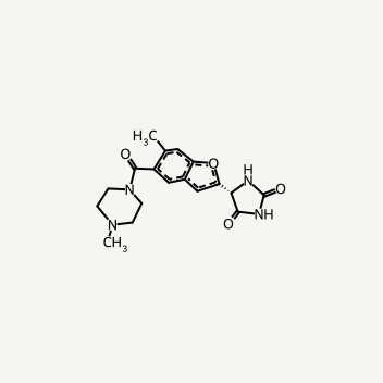 Cc1cc2oc([C@@H]3NC(=O)NC3=O)cc2cc1C(=O)N1CCN(C)CC1